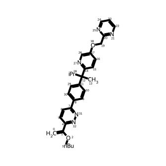 C=C(OCCCC)c1ccc(-c2ccc(C(C)(c3ccc(OCc4ncccn4)cn3)C(C)C)cc2)nn1